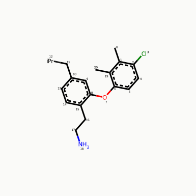 Cc1c(Cl)ccc(Oc2cc(CC(C)C)ccc2CCN)c1C